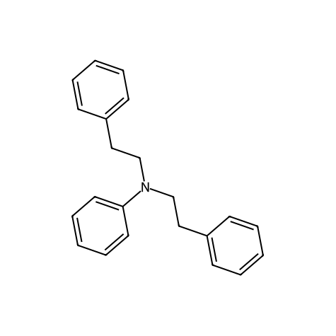 c1ccc(CCN(CCc2ccccc2)c2ccccc2)cc1